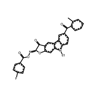 CCn1c2ccc(C(=O)c3ccccc3C)cc2c2cc3c(cc21)O/C(=N\OC(=O)c1ccc(F)cc1)C3=O